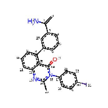 C=C(N)c1cccc(-c2cccc3nc(C)n(-c4ccc(I)cc4)c(=O)c23)c1